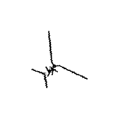 CCCCCCCCCCCCCCCCCCCCCCCCCCCCC#Cc1cc(C#CCCCCCCCCCCCCCCCCCCCCCCCCCCCC)cc(C2=C(CCCC)C(CCCC)=C(c3cc(CCCC)cc(CCCC)c3)[N+]2=[N-])c1.CCCCCCCCCCC[CH2][Ni][CH2]CCCCCCCCCCC